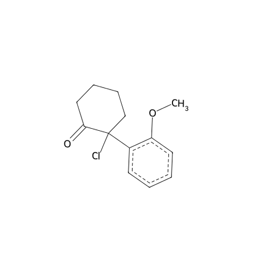 COc1ccccc1C1(Cl)CCCCC1=O